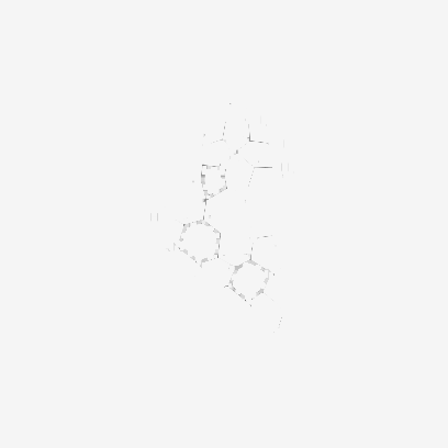 COc1ncc(-c2cc(-c3ccn([Si](C(C)C)(C(C)C)C(C)C)c3)c(C)nn2)c(OC)n1